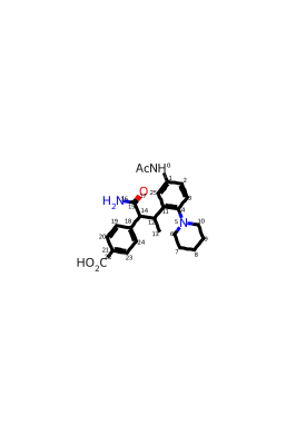 CC(=O)Nc1ccc(N2CCCCC2)c(C(C)C(C(N)=O)c2ccc(C(=O)O)cc2)c1